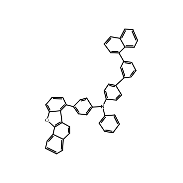 c1ccc(N(c2ccc(-c3cccc(-c4cccc5ccccc45)c3)cc2)c2ccc(-c3cccc4oc5c6ccccc6ccc5c34)cc2)cc1